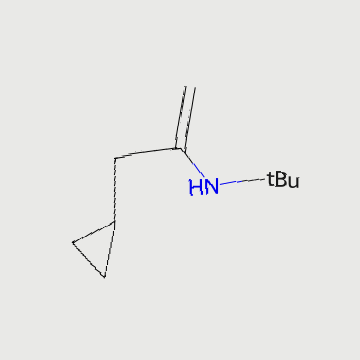 C=C(CC1CC1)NC(C)(C)C